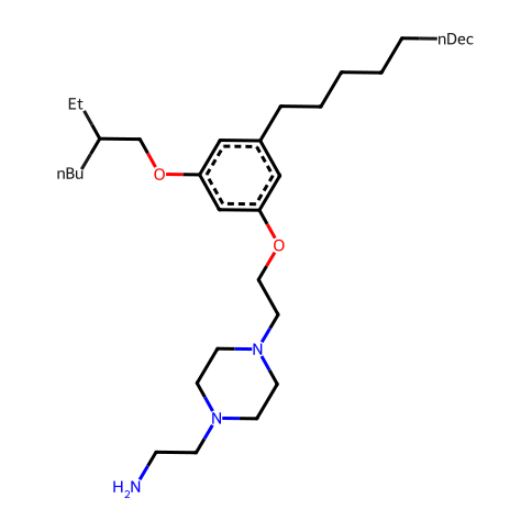 CCCCCCCCCCCCCCCc1cc(OCCN2CCN(CCN)CC2)cc(OCC(CC)CCCC)c1